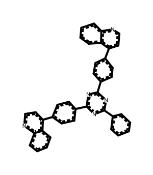 c1ccc(-c2nc(-c3ccc(-c4ccnc5ccccc45)cc3)nc(-c3ccc(-c4ccnc5ccccc45)cc3)n2)cc1